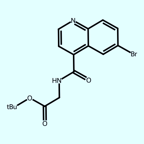 CC(C)(C)OC(=O)CNC(=O)c1ccnc2ccc(Br)cc12